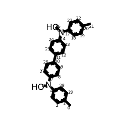 Cc1ccc(N(O)c2ccc(-c3ccc(N(O)c4ccc(C)cc4)cc3)cc2)cc1